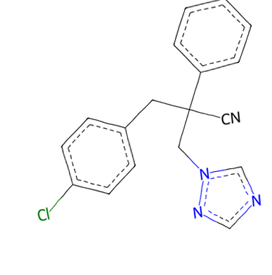 N#CC(Cc1ccc(Cl)cc1)(Cn1cncn1)c1ccccc1